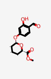 COC(=O)[C@@H]1[CH][CH][CH][C@H](Oc2ccc(C=O)c(O)c2)O1